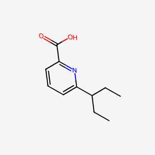 CCC(CC)c1cccc(C(=O)O)n1